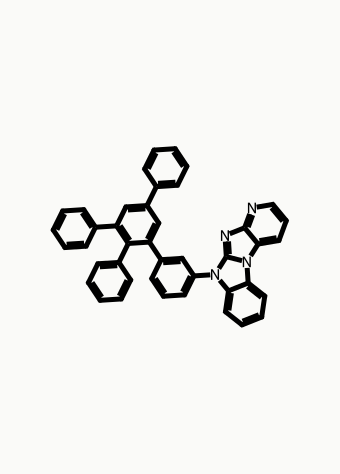 c1ccc(-c2cc(-c3ccccc3)c(-c3ccccc3)c(-c3cccc(-n4c5ccccc5n5c6cccnc6nc45)c3)c2)cc1